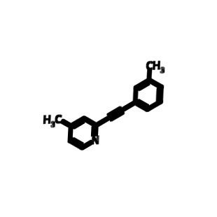 Cc1cccc(C#Cc2cc(C)ccn2)c1